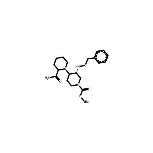 CC(C)(C)OC(=O)N1CCC(N2CCCCC2C(N)=O)[C@H](NOCc2ccccc2)C1